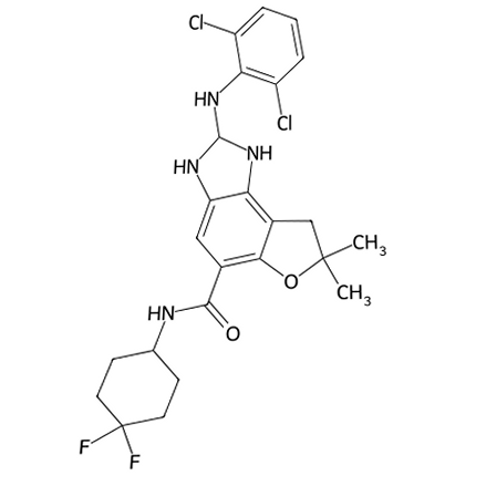 CC1(C)Cc2c3c(cc(C(=O)NC4CCC(F)(F)CC4)c2O1)NC(Nc1c(Cl)cccc1Cl)N3